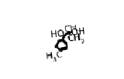 Cc1ccc(C(O)C(C)(C)O)cc1